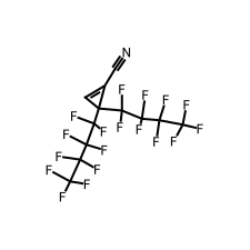 N#CC1=CC1(C(F)(F)C(F)(F)C(F)(F)C(F)(F)F)C(F)(F)C(F)(F)C(F)(F)C(F)(F)F